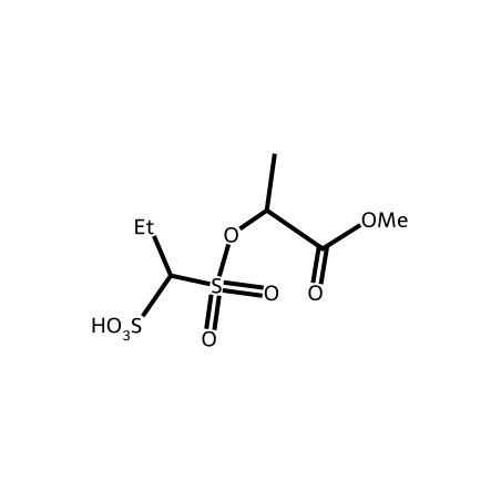 CCC(S(=O)(=O)O)S(=O)(=O)OC(C)C(=O)OC